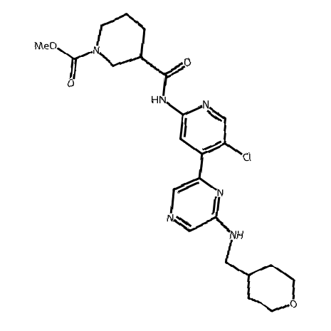 COC(=O)N1CCCC(C(=O)Nc2cc(-c3cncc(NCC4CCOCC4)n3)c(Cl)cn2)C1